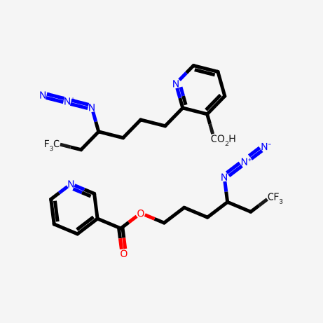 [N-]=[N+]=NC(CCCOC(=O)c1cccnc1)CC(F)(F)F.[N-]=[N+]=NC(CCCc1ncccc1C(=O)O)CC(F)(F)F